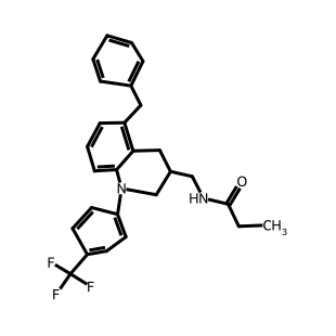 CCC(=O)NCC1Cc2c(Cc3ccccc3)cccc2N(c2ccc(C(F)(F)F)cc2)C1